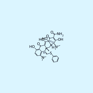 CN(C)c1ccc(O)c2c1[C@H](CSc1ccccc1)[C@@]1(C)C[C@H]3[C@H](N(C)C)C(O)=C(C(N)=O)C(=O)[C@@]3(O)C(O)=C1C2=O